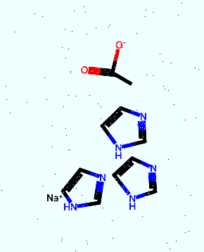 CC(=O)[O-].[Na+].c1c[nH]cn1.c1c[nH]cn1.c1c[nH]cn1